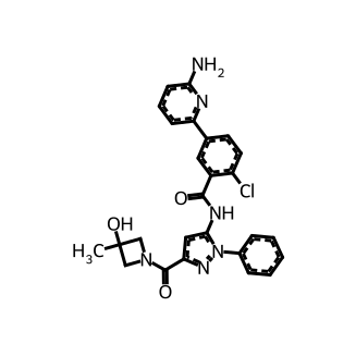 CC1(O)CN(C(=O)c2cc(NC(=O)c3cc(-c4cccc(N)n4)ccc3Cl)n(-c3ccccc3)n2)C1